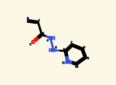 C=CC(=O)NNc1ccccn1